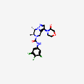 C[C@H]1[C@H](C)n2ncc(N3CCOCC3=O)c2CN1C(=O)Nc1cc(F)c(F)c(F)c1